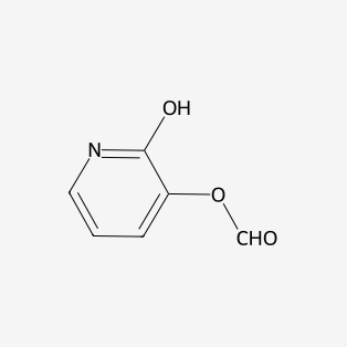 O=COc1cccnc1O